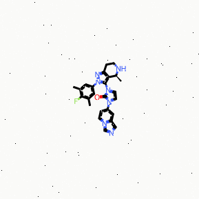 Cc1cc(-n2nc3c(c2-n2ccn(-c4ccn5cncc5c4)c2=O)[C@H](C)NCC3)cc(C)c1F